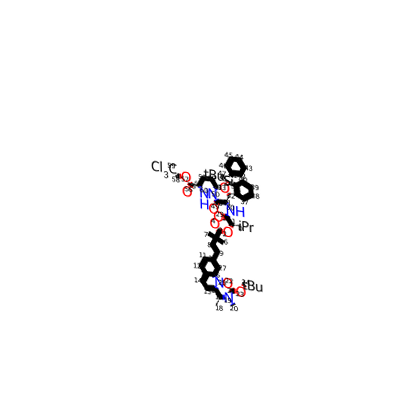 CC(C)[C@H](OC(=O)C(C)(C)/C=C/c1ccc2ccc([C@@H](C)N(C)C(=O)OC(C)(C)C)nc2c1)C(=O)N[C@@H](CO[Si](c1ccccc1)(c1ccccc1)C(C)(C)C)C(=O)N1CCC[C@@H](C(=O)OCC(Cl)(Cl)Cl)N1